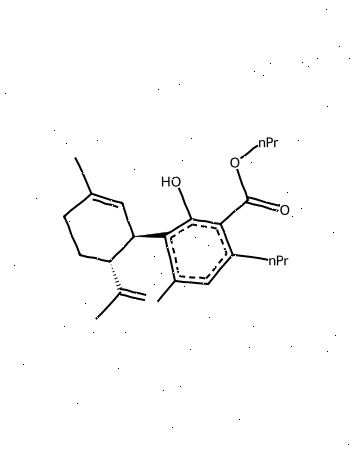 C=C(C)[C@@H]1CCC(C)=C[C@H]1c1c(C)cc(CCC)c(C(=O)OCCC)c1O